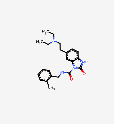 CCN(CC)CCc1ccc2[nH]c(=O)n(C(=O)NCc3ccccc3C)c2c1